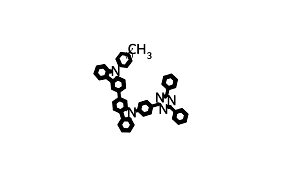 C[C@@H]1C=CC(n2c3ccccc3c3cc(-c4ccc5c6ccccc6n(-c6ccc(-c7nc(-c8ccccc8)nc(-c8ccccc8)n7)cc6)c5c4)ccc32)=CC1